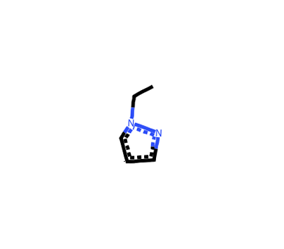 CCn1c[c]cn1